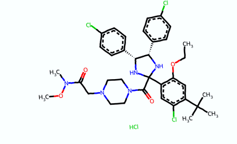 CCOc1cc(C(C)(C)C)c(Cl)cc1C1(C(=O)N2CCN(CC(=O)N(C)OC)CC2)N[C@H](c2ccc(Cl)cc2)[C@H](c2ccc(Cl)cc2)N1.Cl